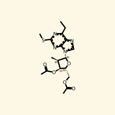 CCc1nc(SC)nc2c1ncn2[C@@H]1O[C@H](COC(C)=O)[C@@H](OC(C)=O)[C@H]1C